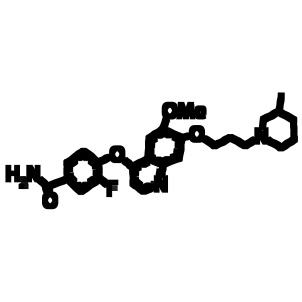 COc1cc2c(Oc3ccc(C(N)=O)cc3F)ccnc2cc1OCCCN1CCCC(C)C1